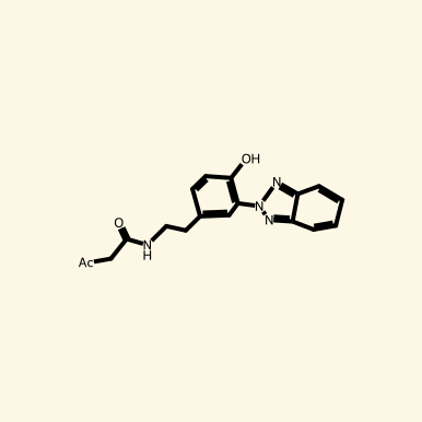 CC(=O)CC(=O)NCCc1ccc(O)c(-n2nc3ccccc3n2)c1